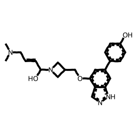 CN(C)C/C=C/C(O)N1CC(COc2cc(-c3ccc(O)cc3)cc3[nH]ncc23)C1